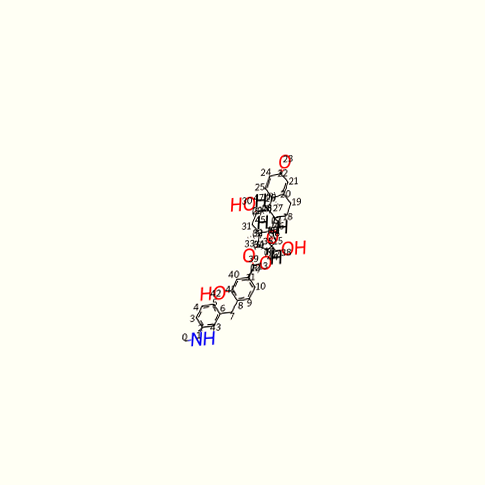 CNc1cccc(Cc2ccc([C@@H]3O[C@@H]4C[C@H]5[C@@H]6CCC7=CC(=O)C=C[C@]7(C)[C@H]6[C@@H](O)C[C@]5(C)[C@]4(C(=O)CO)O3)cc2O)c1